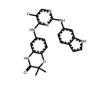 CC1(C)Oc2ccc(Nc3nc(Nc4ccc5cc[nH]c5c4)ncc3F)cc2NC1=O